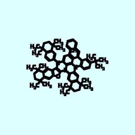 Cc1cc2c3c(c1)N(c1ccc4c(c1)C(C)(C)CCC4(C)C)c1c(oc4cc5c(cc14)C(C)(C)CCC5(C)C)B3c1cc3c(cc1N2c1ccc(C(C)(C)C)cc1-c1ccc2ccccc2c1)C(C)(C)CCC3(C)C